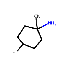 CCC1CCC(N)(C#N)CC1